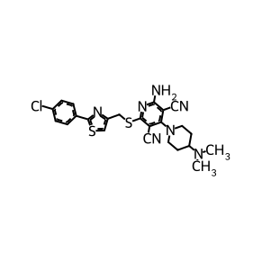 CN(C)C1CCN(c2c(C#N)c(N)nc(SCc3csc(-c4ccc(Cl)cc4)n3)c2C#N)CC1